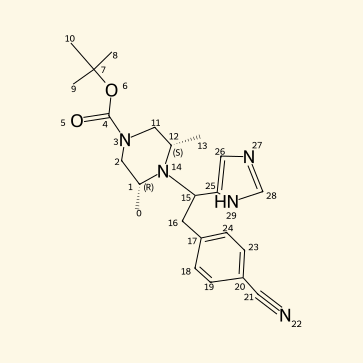 C[C@@H]1CN(C(=O)OC(C)(C)C)C[C@H](C)N1C(Cc1ccc(C#N)cc1)c1cnc[nH]1